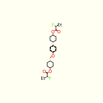 CC[C@H](F)C(=O)O[C@H]1CC[C@H](COc2ccc([C@H]3CC[C@H](OC(=O)[C@@H](F)CC)CC3)cc2)CC1